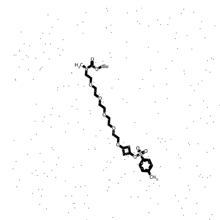 Cc1ccc(S(=O)(=O)OC2CC(OCCOCCOCCOCCOCCN(C)C(=O)OC(C)(C)C)C2)cc1